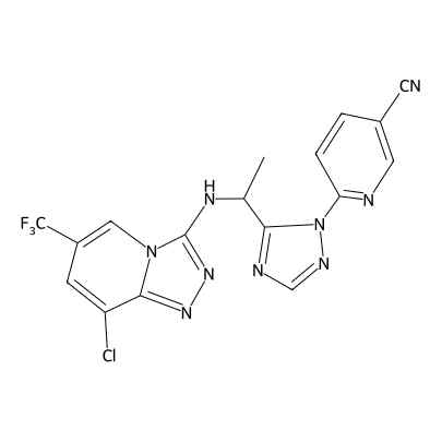 CC(Nc1nnc2c(Cl)cc(C(F)(F)F)cn12)c1ncnn1-c1ccc(C#N)cn1